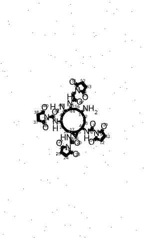 NC1CCC(NC(=O)N2C(=O)C=CC2=O)C2CC2(NC(=O)N2C(=O)C=CC2=O)CC[C@@H](NC(=O)N2C(=O)C=CC2=O)CC(N)C(NC(=O)CN2C(=O)C=CC2=O)C1